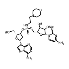 COC1C(O)[C@@H](COP(=O)(NCCN2CCOCC2)OC2C[C@H](n3cnc4c(N)ncnc43)O[C@@H]2CO)O[C@H]1n1ccc(N)nc1=O